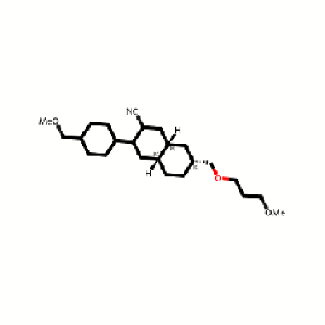 COCCCOC[C@@H]1CC[C@@H]2CC(C3CCC(COC)CC3)C(C#N)C[C@@H]2C1